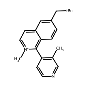 Cc1cnccc1-c1c2ccc(CC(C)(C)C)cc2cc[n+]1C